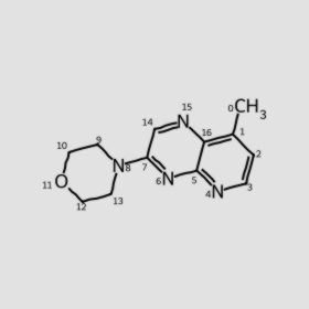 Cc1ccnc2nc(N3CCOCC3)cnc12